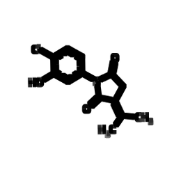 CC(C)=C1CC(=O)N(c2ccc(Cl)c(O)c2)C1=O